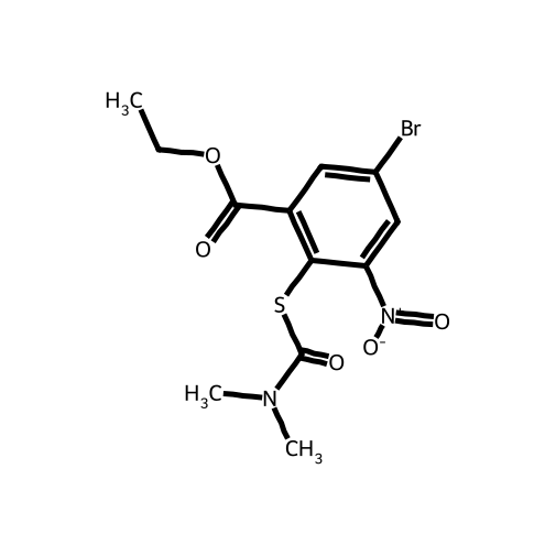 CCOC(=O)c1cc(Br)cc([N+](=O)[O-])c1SC(=O)N(C)C